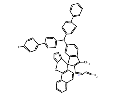 C=C/C=C\C1=C(C)c2ccc(N(c3ccc(-c4ccccc4)cc3)c3ccc(-c4ccc(F)cc4)cc3)cc2C12c1ccccc1Oc1c2ccc2ccccc12